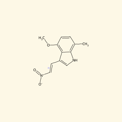 COc1ccc(C)c2[nH]cc(/C=C/[N+](=O)[O-])c12